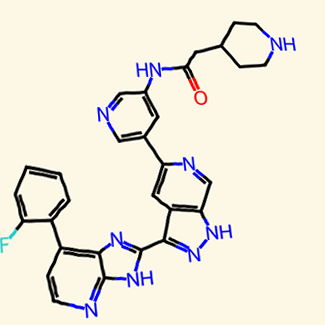 O=C(CC1CCNCC1)Nc1cncc(-c2cc3c(-c4nc5c(-c6ccccc6F)ccnc5[nH]4)n[nH]c3cn2)c1